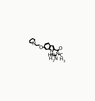 CN(C(=N)N)C(=O)c1cc2ccc(OCCN3CCCC3)cc2[nH]1